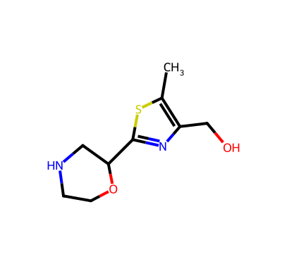 Cc1sc(C2CNCCO2)nc1CO